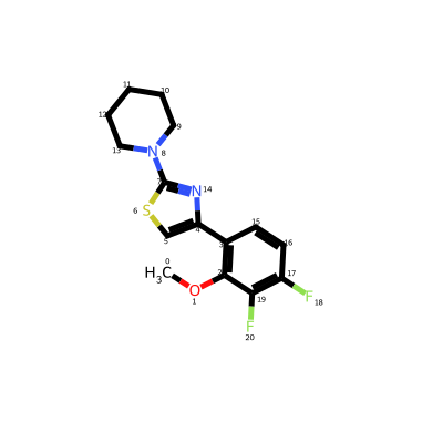 COc1c(-c2csc(N3CCCCC3)n2)ccc(F)c1F